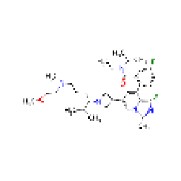 CCN(C(=O)c1cc(F)ccc1-c1cc(C2CN([C@@H](CCCN(C)CCOC)C(C)C)C2)cn2c(C)nc(F)c12)C(C)C